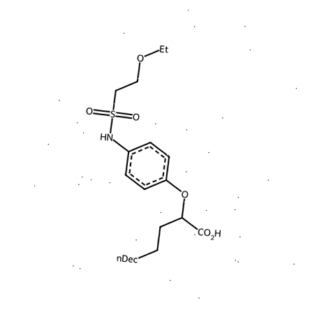 CCCCCCCCCCCCC(Oc1ccc(NS(=O)(=O)CCOCC)cc1)C(=O)O